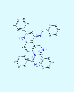 N/C(=C\C(=N/Cc1ccccc1)c1ccccc1C/N=C(\N=C(/N)c1ccccc1)c1ccccc1)c1ccccc1